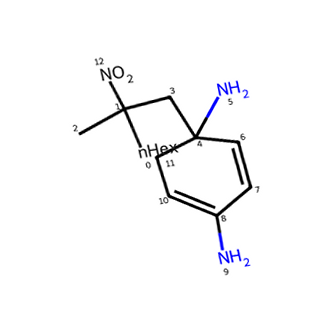 CCCCCCC(C)(CC1(N)C=CC(N)=CC1)[N+](=O)[O-]